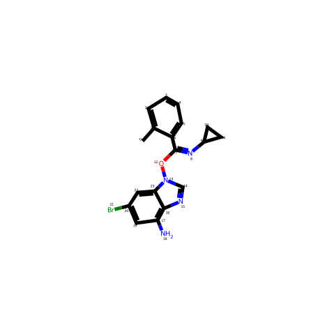 Cc1ccccc1C(=NC1CC1)On1cnc2c(N)cc(Br)cc21